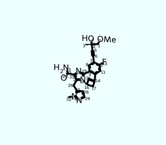 COC[C@@](C)(O)C#Cc1cc2c(cc1F)C1=CC(C1)n1c-2nc(C(N)=O)c1Cc1ccnn1C